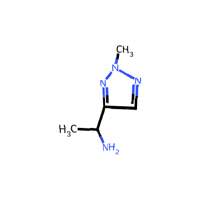 CC(N)c1cnn(C)n1